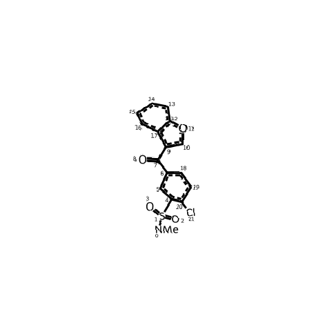 CNS(=O)(=O)c1cc(C(=O)c2coc3ccccc23)ccc1Cl